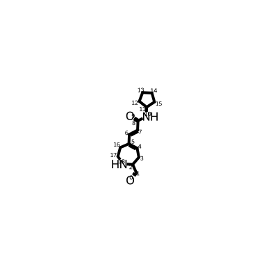 O=CC1CC=C(/C=C/C(=O)NC2CCCC2)CCN1